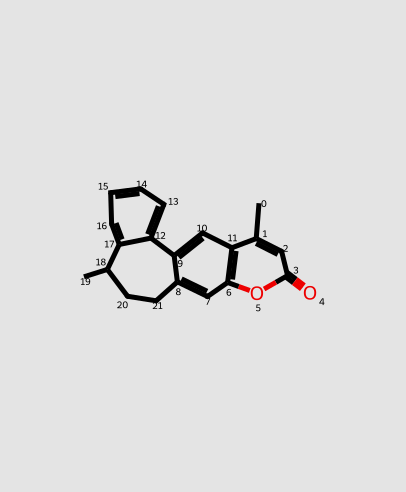 Cc1cc(=O)oc2cc3c(cc12)-c1ccccc1C(C)CC3